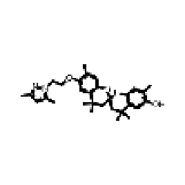 Cc1cc(C)n(CCOc2cc3c(cc2C)OC2(CC(C)(C)c4cc(O)c(C)cc4O2)CC3(C)C)n1